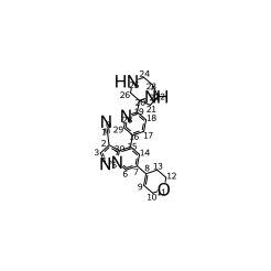 N#Cc1cnn2cc(C3=CCOCC3)cc(-c3ccc(C45CCC(CNC4)N5)nc3)c12